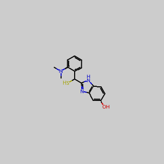 CN(C)c1ccccc1C(S)c1nc2cc(O)ccc2[nH]1